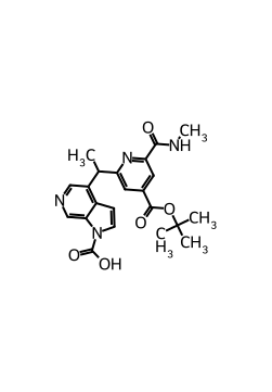 CNC(=O)c1cc(C(=O)OC(C)(C)C)cc(C(C)c2cncc3c2ccn3C(=O)O)n1